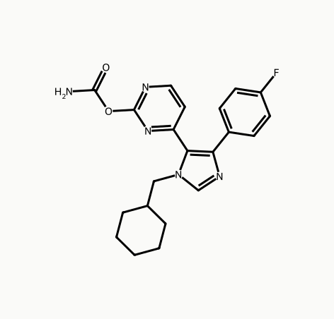 NC(=O)Oc1nccc(-c2c(-c3ccc(F)cc3)ncn2CC2CCCCC2)n1